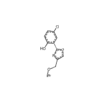 CC(C)OCc1coc(-c2cc(Cl)ccc2O)n1